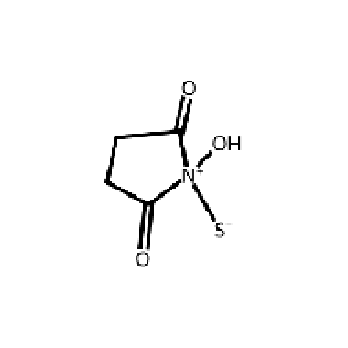 O=C1CCC(=O)[N+]1(O)[S-]